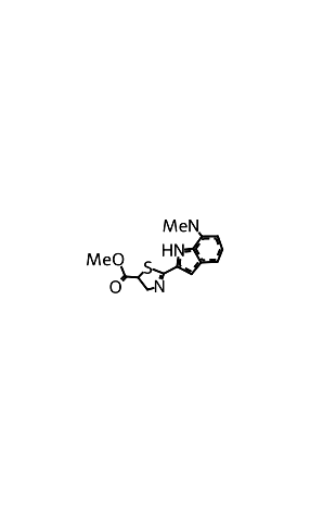 CNc1cccc2cc(C3=NCC(C(=O)OC)S3)[nH]c12